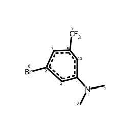 CN(C)c1cc(Br)cc(C(F)(F)F)c1